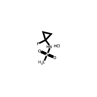 CS(=O)(=O)NC1(F)CC1.Cl